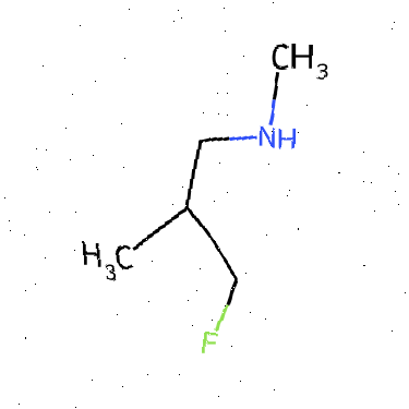 CNCC(C)CF